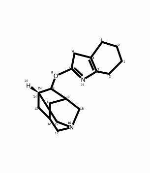 C1CCC2=C(C1)CC(OC1C3CC4C[C@H]1CN(C4)C3)=N2